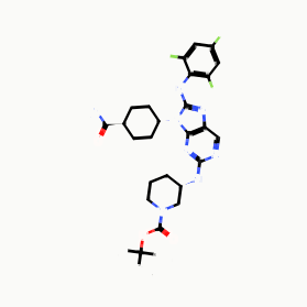 CC(C)(C)OC(=O)N1CCC[C@@H](Nc2ncc3nc(Nc4c(F)cc(F)cc4F)n([C@H]4CC[C@H](C(N)=O)CC4)c3n2)C1